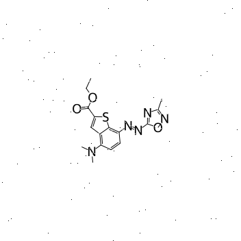 CCOC(=O)c1cc2c(N(C)C)ccc(/N=N/c3nc(C)no3)c2s1